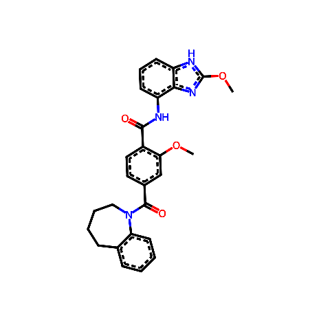 COc1nc2c(NC(=O)c3ccc(C(=O)N4CCCCc5ccccc54)cc3OC)cccc2[nH]1